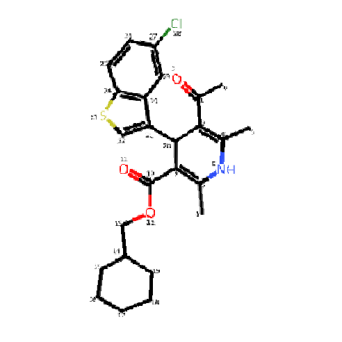 CC(=O)C1=C(C)NC(C)=C(C(=O)OCC2CCCCC2)C1c1csc2ccc(Cl)cc12